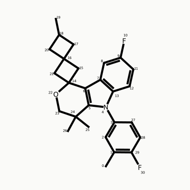 Cc1cc(-n2c3c(c4cc(F)ccc42)C2(CC4(CC(C)C4)C2)OCC3(C)C)ccc1F